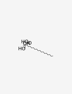 CCCCCCCCCCCCCCCCC(C(=O)O)C(C)(O)CO